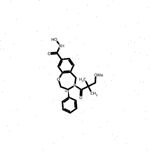 COCC(C)(C)C(=O)N1Cc2ccc(C(=O)NO)cc2OC[C@@H]1c1ccccc1